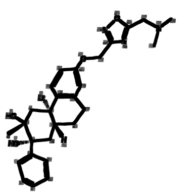 CC[C@@]12C[C@@](C)(O)[C@](O)(c3ccccc3)C[C@H]1CCc1cc(OCc3noc(CN(C)C)n3)ccc12